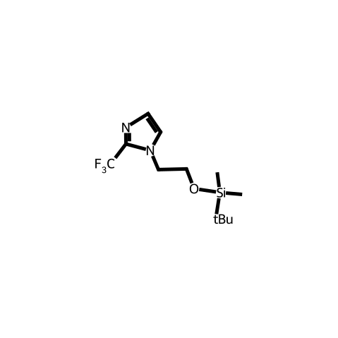 CC(C)(C)[Si](C)(C)OCCn1ccnc1C(F)(F)F